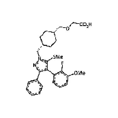 COc1cccc(-c2c(-c3ccccc3)nn(C[C@H]3CC[C@@H](COCC(=O)O)CC3)c2SC)c1F